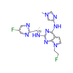 C[C@H](Nc1nc(Nc2cn(C)cn2)c2ccn(CCF)c2n1)c1ncc(F)cn1